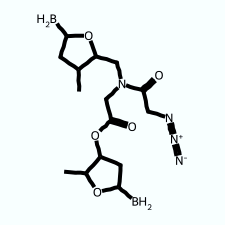 BC1CC(OC(=O)CN(CC2OC(B)CC2C)C(=O)CN=[N+]=[N-])C(C)O1